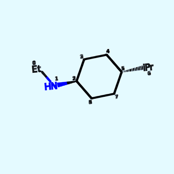 CCN[C@H]1CC[C@H](C(C)C)CC1